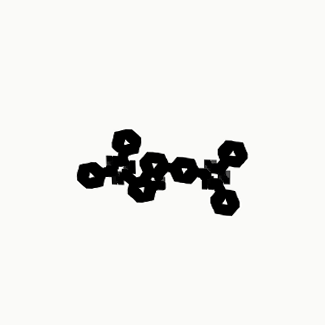 c1ccc(-c2nc(-c3ccccc3)nc(-c3ccc(-c4cccc5c4sc4cccc(-c6nc(-c7ccccc7)nc(-c7ccccc7)n6)c45)cc3)n2)cc1